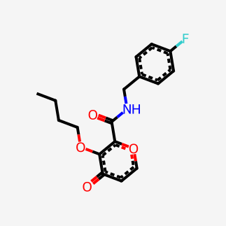 CCCCOc1c(C(=O)NCc2ccc(F)cc2)occc1=O